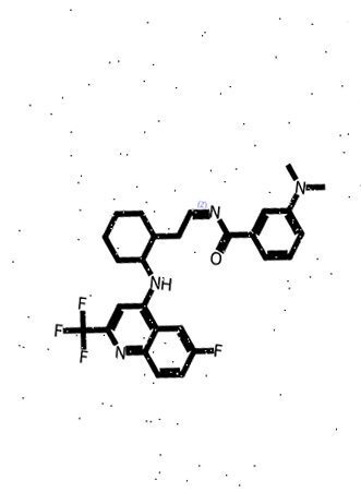 CN(C)c1cccc(C(=O)/N=C\CC2CCCCC2Nc2cc(C(F)(F)F)nc3ccc(F)cc23)c1